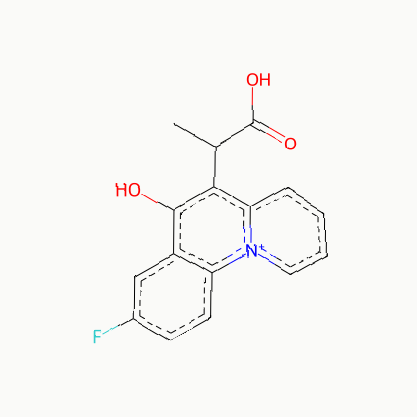 CC(C(=O)O)c1c(O)c2cc(F)ccc2[n+]2ccccc12